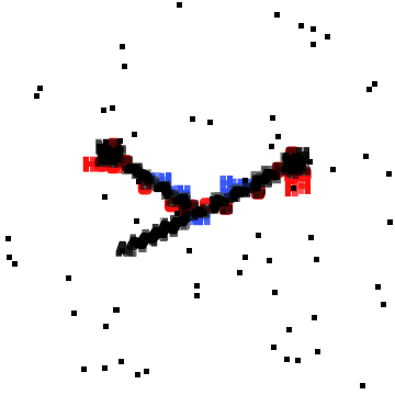 CC(=O)CCCCCCCCCCC(=O)NC(COCCC(=O)NCCCNC(=O)CCCCOC[C@]12CO[C@@H](C[C@@H](O)[C@H]1O)C2)OCCC(=O)NCCCNC(=O)CCCCOC[C@]12CO[C@H](C[C@@H](O)[C@H]1O)C2